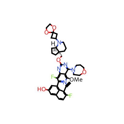 C#Cc1c(F)ccc2cc(O)cc(-c3nc(OC)c4c(N5CCCOCC5)nc(OC[C@]56CCC[C@H]5N(C5CC7(C5)OCCO7)CCC6)nc4c3F)c12